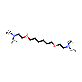 CN(C)CCOCCCCCCOCCN(C)C